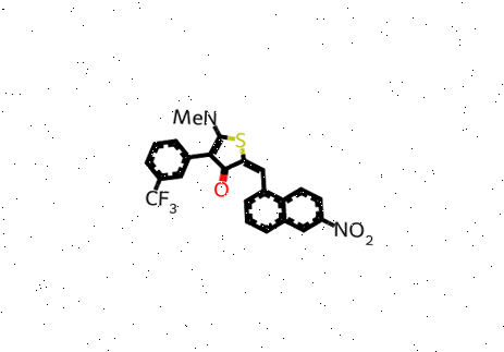 CNC1=C(c2cccc(C(F)(F)F)c2)C(=O)C(=Cc2cccc3cc([N+](=O)[O-])ccc23)S1